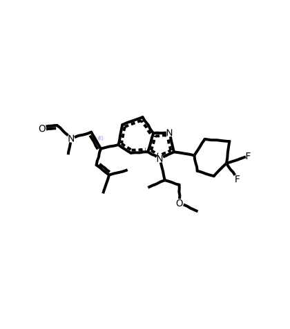 COCC(C)n1c(C2CCC(F)(F)CC2)nc2ccc(/C(C=C(C)C)=C/N(C)C=O)cc21